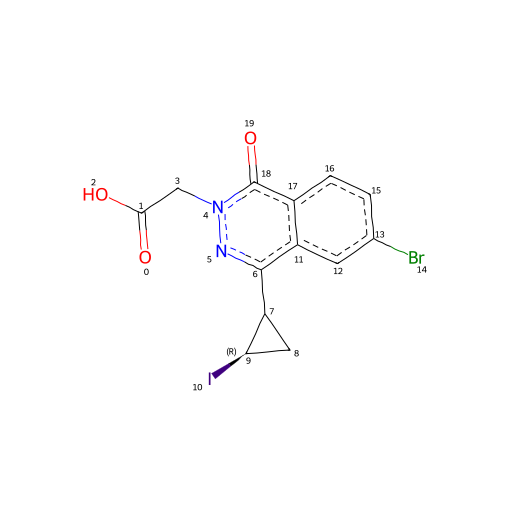 O=C(O)Cn1nc(C2C[C@H]2I)c2cc(Br)ccc2c1=O